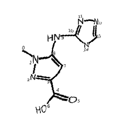 Cn1nc(C(=O)O)cc1NC1=NN=C[N]1